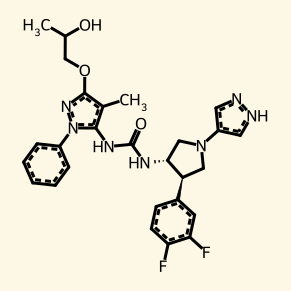 Cc1c(OCC(C)O)nn(-c2ccccc2)c1NC(=O)N[C@@H]1CN(c2cn[nH]c2)C[C@H]1c1ccc(F)c(F)c1